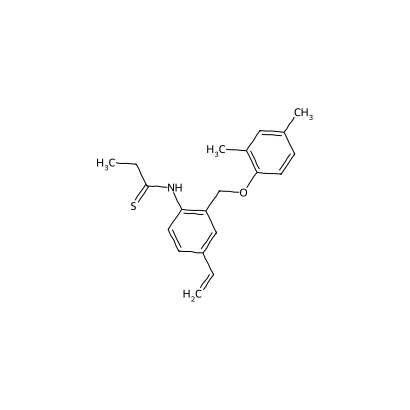 C=Cc1ccc(NC(=S)CC)c(COc2ccc(C)cc2C)c1